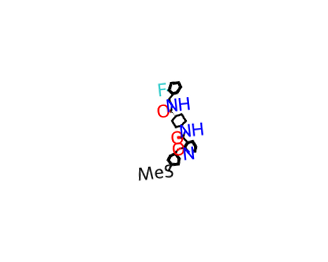 CSc1ccc(Oc2ncccc2C(=O)N[C@H]2CC[C@@H](C(=O)NCc3ccccc3F)CC2)cc1